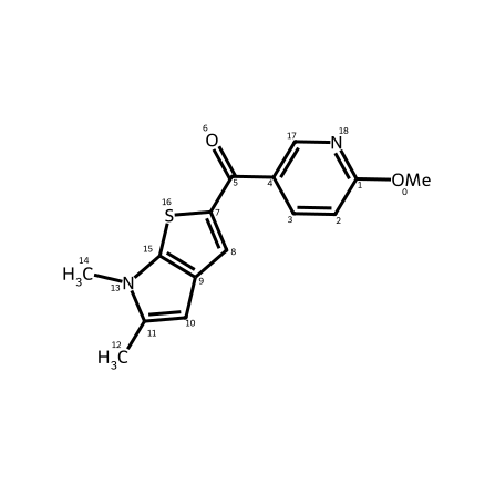 COc1ccc(C(=O)c2cc3cc(C)n(C)c3s2)cn1